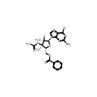 CC(=O)O[C@]1(C)[C@@H](COC(=O)c2ccccc2)O[C@H](n2cnc3c(Cl)nc(N)nc32)[C@]1(C)F